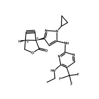 CCNc1nc(Nc2cc([C@]34C#C[C@H]3COC4=O)nn2C2CC2)ncc1C(F)(F)F